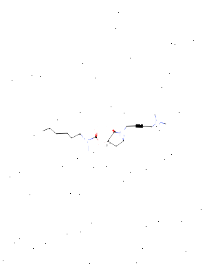 CCCCCCNC(=O)O[C@@H]1CCN(CC#CCN(C)C)C1=O